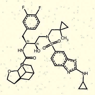 CC1(CN(C[C@@H](O)[C@H](Cc2ccc(F)c(F)c2)NC(=O)OC2C3COC4OCC2C4C3)S(=O)(=O)c2ccc3nc(NC4CC4)sc3c2)CC1